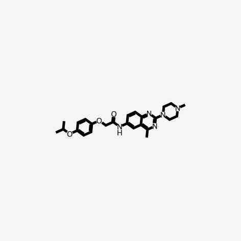 Cc1nc(N2CCN(C)CC2)nc2ccc(NC(=O)COc3ccc(OC(C)C)cc3)cc12